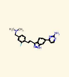 CN(C)Cc1ccc(/C=C/c2n[nH]c3cc(-c4ccnc(N)n4)ccc23)c(F)c1